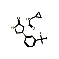 O=C1NC[C@H](c2cccc(C(F)(F)F)c2)[C@H]1C(=O)NC1CC1